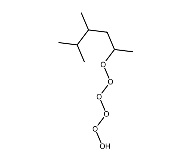 CC(CC(C)C(C)C)OOOOOO